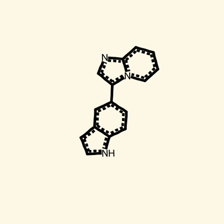 c1ccn2c(-c3ccc4[nH]ccc4c3)cnc2c1